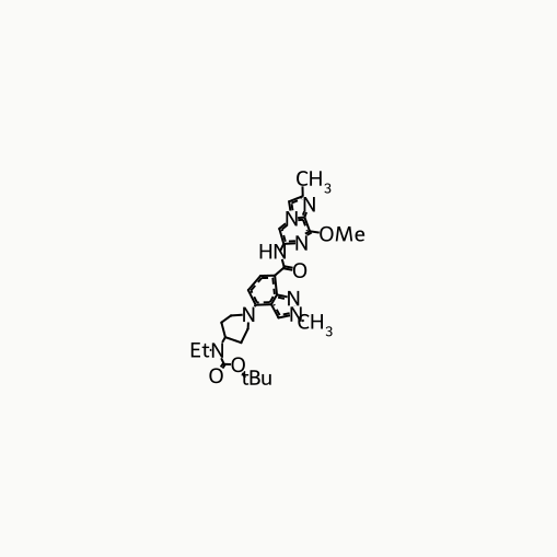 CCN(C(=O)OC(C)(C)C)C1CCN(c2ccc(C(=O)Nc3cn4cc(C)nc4c(OC)n3)c3nn(C)cc23)CC1